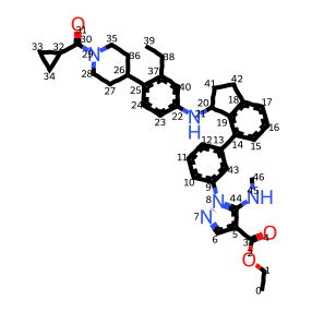 CCOC(=O)c1cnn(-c2cccc(-c3cccc4c3C(Nc3ccc(C5CCN(C(=O)C6CC6)CC5)c(CC)c3)CC4)c2)c1NC